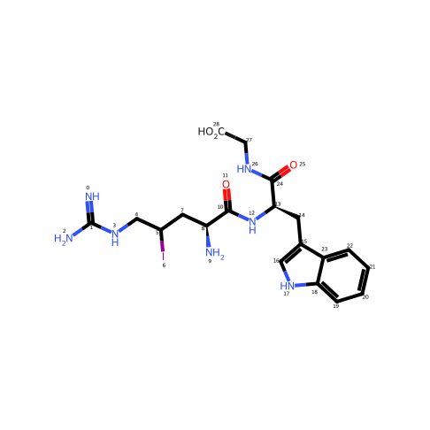 N=C(N)NCC(I)C[C@H](N)C(=O)N[C@H](Cc1c[nH]c2ccccc12)C(=O)NCC(=O)O